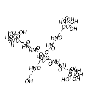 CC(=O)NC1C(OCCCCC(=O)NCCCNC(=O)CCOCC(COCCC(=O)NCCCNC(=O)CCCCOC2OC(CO)C(O)C(O)C2NC(C)=O)(COCCC(=O)NCCCNC(=O)CCCCOC2OC(CO)C(O)C(O)C2NC(C)=O)NC(=O)CCCC(=O)NCCCCCCO)OC(CO)C(O)C1O